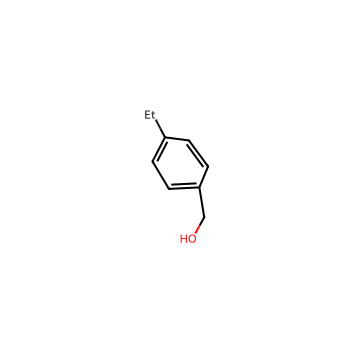 CCc1ccc(CO)cc1